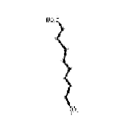 CC(=O)OCCC[CH]CCCCC(=O)O